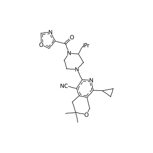 CC(C)C1CN(c2nc(C3CC3)c3c(c2C#N)CC(C)(C)OC3)CCN1C(=O)c1cocn1